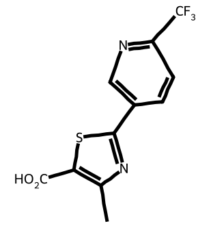 Cc1nc(-c2ccc(C(F)(F)F)nc2)sc1C(=O)O